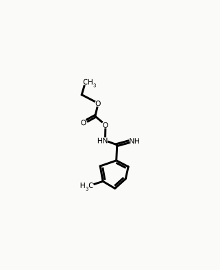 CCOC(=O)ONC(=N)c1cccc(C)c1